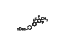 CCCCCCCCCCC[C@H]1CC[C@H](c2ccc(-c3cc(F)c(C)c(F)c3F)c(F)c2)CC1